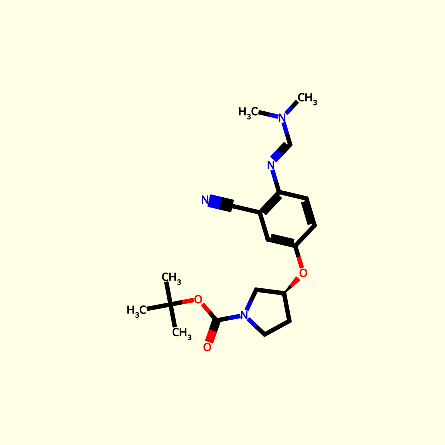 CN(C)/C=N/c1ccc(O[C@H]2CCN(C(=O)OC(C)(C)C)C2)cc1C#N